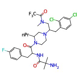 CCCC1CN(C(Cc2ccc(Cl)cc2Cl)CN(C)C(=O)C(F)(F)F)CCN1C(=O)C(Cc1ccc(F)cc1)NC(=O)C(C)(C)N